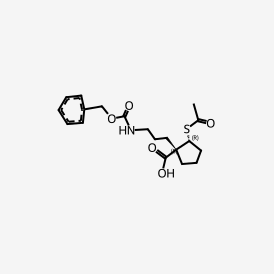 CC(=O)S[C@@H]1CCC[C@]1(CCCNC(=O)OCc1ccccc1)C(=O)O